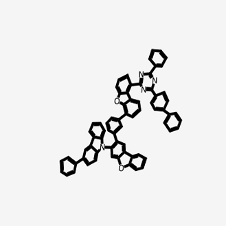 c1ccc(-c2ccc(-c3nc(-c4ccccc4)nc(-c4cccc5oc6c(-c7cccc(-c8cc9c(cc8-n8c%10ccccc%10c%10cc(-c%11ccccc%11)ccc%108)oc8ccccc89)c7)cccc6c45)n3)cc2)cc1